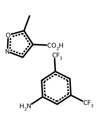 Cc1oncc1C(=O)O.Nc1cc(C(F)(F)F)cc(C(F)(F)F)c1